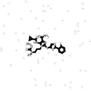 CC(C)N(CCCn1c(SC2=COC(c3ccccc3I)O2)nc(C(N)=O)c1NC(=O)C1CC1)C(=O)OC(C)(C)C